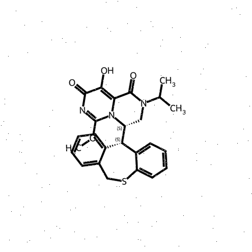 COc1nc(=O)c(O)c2n1[C@@H]([C@H]1c3ccccc3CSc3ccccc31)CN(C(C)C)C2=O